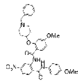 COc1ccc(NC(=O)c2ccc([N+](=O)[O-])cc2NC(=O)c2ccc(OC)cc2OC2CCN(Cc3ccccc3)CC2)cc1